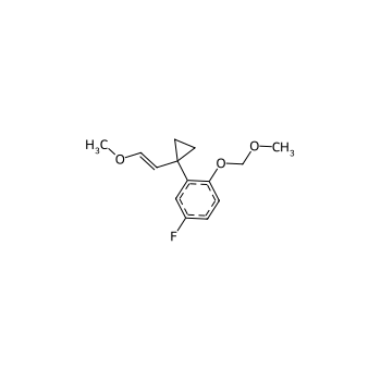 COC=CC1(c2cc(F)ccc2OCOC)CC1